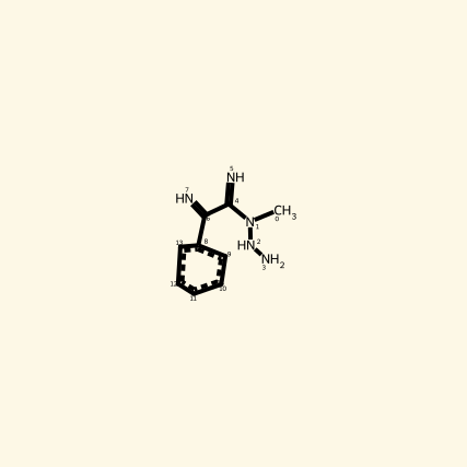 CN(NN)C(=N)C(=N)c1ccccc1